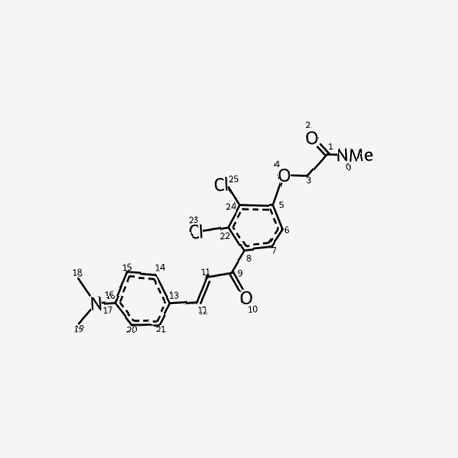 CNC(=O)COc1ccc(C(=O)/C=C/c2ccc(N(C)C)cc2)c(Cl)c1Cl